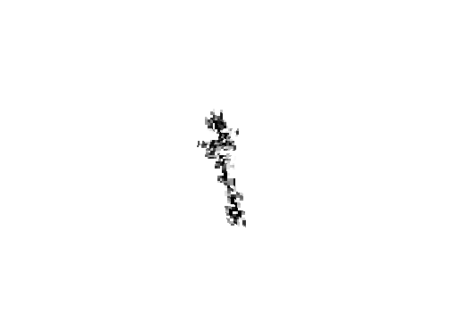 CC(C)(COP(=O)(O)OP(=O)(O)OC[C@H]1O[C@@H](n2cnc3c(N)ncnc32)[C@H](O)[C@@H]1OP(=O)(O)O)C(O)C(=O)NCCC(=O)NCCSC(=O)CCc1ccc(O)cc1